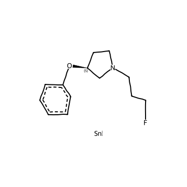 FCCCN1CC[C@H](Oc2ccccc2)C1.[Sn]